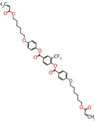 C=CC(=O)OCCCCCCOc1ccc(OC(=O)c2ccc(OC(=O)c3ccc(OCCCCCCOC(=O)C=C)cc3)c(C(F)(F)F)c2)cc1